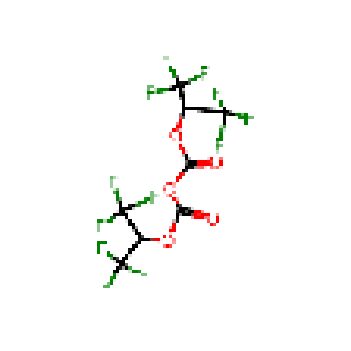 O=C(OC(=O)OC(C(F)(F)F)C(F)(F)F)OC(C(F)(F)F)C(F)(F)F